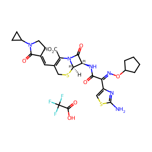 Nc1nc(C(=NOC2CCCC2)C(=O)N[C@@H]2C(=O)N3C(C(=O)O)=C(C=C4CCN(C5CC5)C4=O)CS[C@H]23)cs1.O=C(O)C(F)(F)F